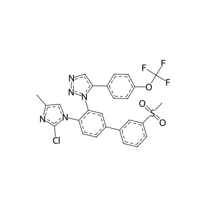 Cc1cn(-c2ccc(-c3cccc(S(C)(=O)=O)c3)cc2-n2nncc2-c2ccc(OC(F)(F)F)cc2)c(Cl)n1